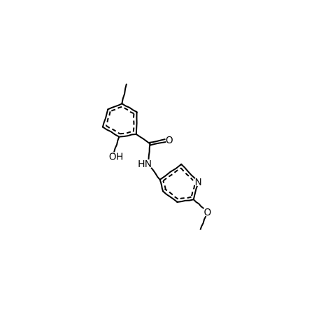 COc1ccc(NC(=O)c2cc(C)ccc2O)cn1